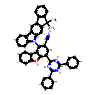 CC1(C)c2ccccc2-c2cc3c4ccccc4n(-c4c(C#N)cc(-c5nc(-c6ccccc6)nc(-c6ccccc6)n5)c5oc6ccccc6c45)c3cc21